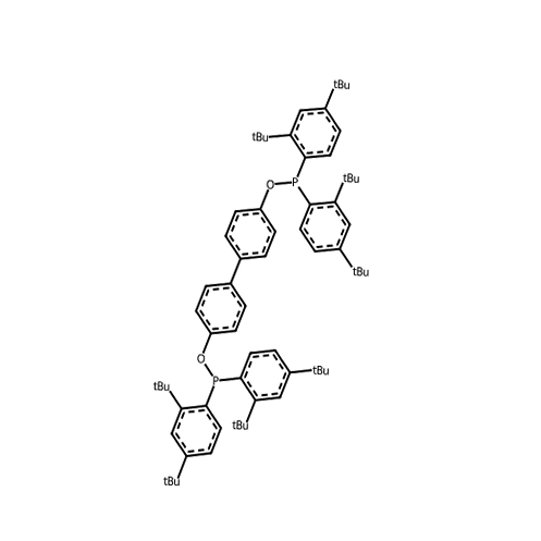 CC(C)(C)c1ccc(P(Oc2ccc(-c3ccc(OP(c4ccc(C(C)(C)C)cc4C(C)(C)C)c4ccc(C(C)(C)C)cc4C(C)(C)C)cc3)cc2)c2ccc(C(C)(C)C)cc2C(C)(C)C)c(C(C)(C)C)c1